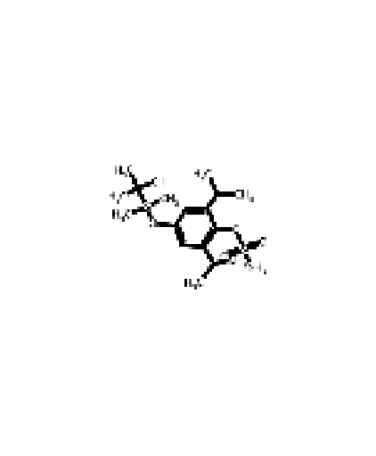 CC(C)c1cc(O[Si](C)(C)C(C)(C)C)cc(C(C)C)c1OS(N)(=O)=O